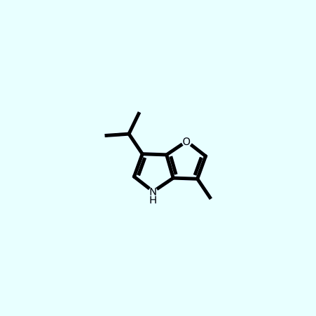 Cc1coc2c(C(C)C)c[nH]c12